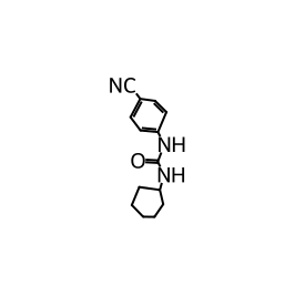 N#Cc1ccc(NC(=O)NC2CCCCC2)cc1